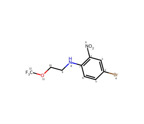 O=[N+]([O-])c1cc(Br)ccc1NCCOC(F)(F)F